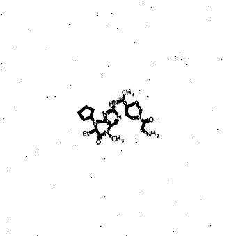 CCC1C(=O)N(C)c2cnc(N[C@@H](C)C3CCN(C(=O)CN)CC3)nc2N1C1CCCC1